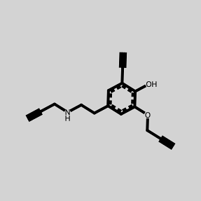 C#CCNCCc1cc(C#C)c(O)c(OCC#C)c1